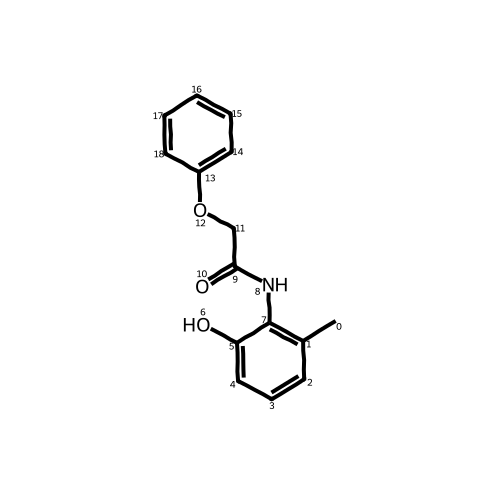 Cc1cccc(O)c1NC(=O)COc1ccccc1